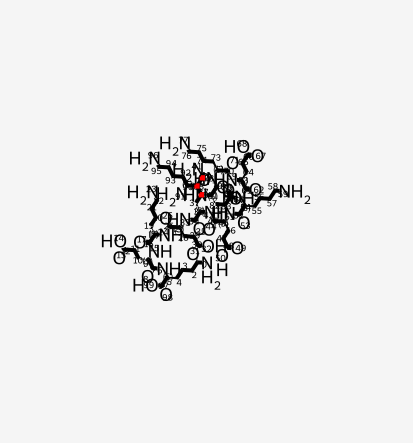 NCCCC[C@H](NC(=O)[C@H](CCC(=O)O)NC(=O)[C@H](CCCCN)NC(=O)[C@H](CCC(=O)O)NC(=O)[C@H](CCCCN)NC(=O)[C@H](CCC(=O)O)NC(=O)[C@H](CCCCN)NC(=O)[C@H](CCC(=O)O)NC(=O)[C@H](CCCCN)NC(=O)[C@H](CCC(=O)O)NC(=O)[C@@H](N)CCCCN)C(=O)O